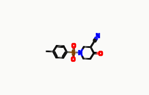 Cc1ccc(S(=O)(=O)N2CCC(=O)C(C#N)C2)cc1